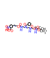 CC(C)(C)OC(=O)NOCC(=O)NCCN(CCNC(=O)OC/C=C/c1ccc([N+](=O)[O-])c(C(=O)O)c1)C(=O)c1ccccc1